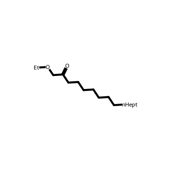 CCCCCCCCCCCCCCC(=O)COCC